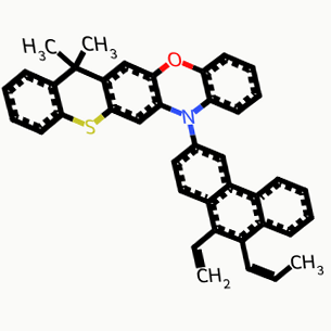 C=Cc1c(/C=C\C)c2ccccc2c2cc(N3c4ccccc4Oc4cc5c(cc43)Sc3ccccc3C5(C)C)ccc12